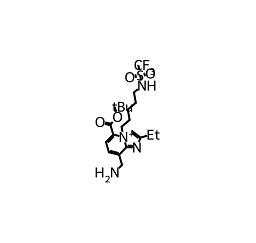 CCC1=C[N+]2(CCCCCNS(=O)(=O)C(F)(F)F)C(C(=O)OC(C)(C)C)=CC=C(CN)C2=N1